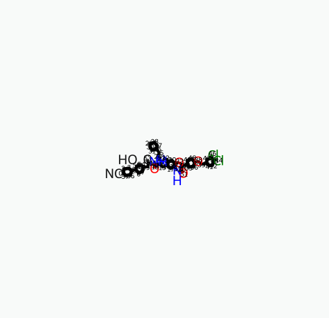 N#Cc1ccc(-c2ccc(CC(NC(=O)C3Cc4cc5c(cc4CN3CCc3ccccc3)OC(c3ccc(OCc4ccc(Cl)c(Cl)c4)cc3)C(=O)N5)C(=O)O)cc2)cc1